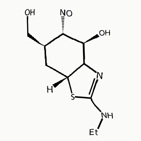 CCNC1=NC2[C@@H](C[C@@H](CO)[C@H](N=O)[C@H]2O)S1